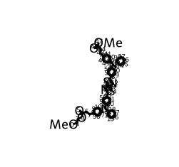 COCCOC(=O)CCc1ccc(N(c2ccccc2)c2ccc(C3=NC4SC(c5ccc(N(c6ccccc6)c6ccc(CCC(=O)OC)cc6)cc5)=NC4S3)cc2)cc1